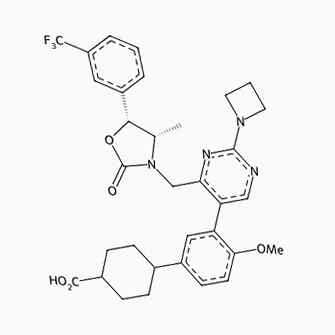 COc1ccc(C2CCC(C(=O)O)CC2)cc1-c1cnc(N2CCC2)nc1CN1C(=O)O[C@H](c2cccc(C(F)(F)F)c2)[C@@H]1C